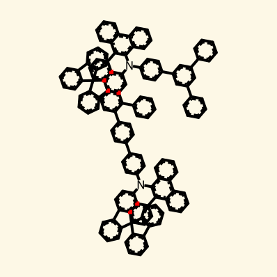 c1ccc(-c2cc(-c3ccccc3)cc(-c3ccc(N(c4ccc5c(c4)C4(c6ccccc6-c6ccccc64)c4ccccc4-5)c4c(-c5cccc(-c6ccc(-c7ccc(-c8ccc(N(c9ccc%10c(c9)C9(c%11ccccc%11-c%11ccccc%119)c9ccccc9-%10)c9c(-c%10ccccc%10)c%10ccccc%10c%10ccccc9%10)cc8)cc7)c(-c7ccccc7)c6)c5)c5ccccc5c5ccccc45)cc3)c2)cc1